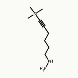 C[Si](C)(C)C#CCCCCPP